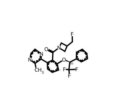 Cc1nccnc1-c1cc[c]c(O[C@@H](c2ccccc2)C(F)(F)F)c1C(=O)N1CC(CF)C1